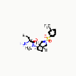 CC(C)C[C@H](N)C(=O)N(C)[C@@H]1CC[C@H]2CN(S(=O)(=O)c3cccc(C(F)(F)F)c3)C[C@H]21